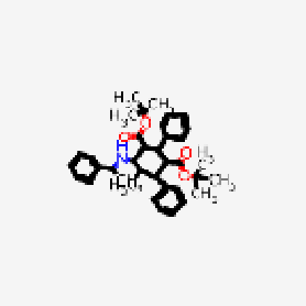 CC(NC1C(C)C(c2ccccc2)C(C(=O)OC(C)(C)C)C(c2ccccc2)C1C(=O)OC(C)(C)C)c1ccccc1